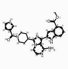 COC(=O)c1cccc2[nH]c(-c3nc(C4CCN(C(=O)c5ccsc5)CC4)n4ccnc(N)c34)cc12